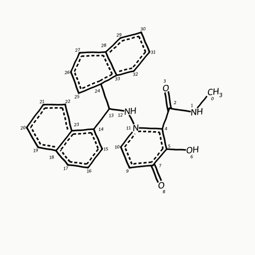 CNC(=O)c1c(O)c(=O)ccn1NC(c1cccc2ccccc12)c1cccc2ccccc12